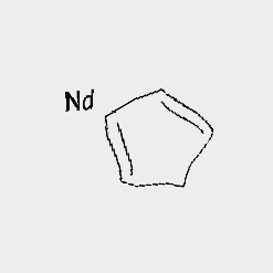 C1=CCC=C1.[Nd]